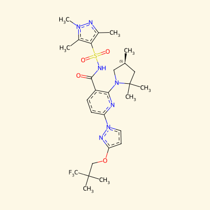 Cc1nn(C)c(C)c1S(=O)(=O)NC(=O)c1ccc(-n2ccc(OCC(C)(C)C(F)(F)F)n2)nc1N1C[C@@H](C)CC1(C)C